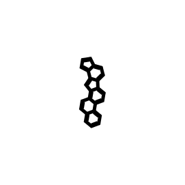 C1=Cc2ccc3c(c2=C1)=Cc1c-3ccc2c1ccc1ccccc12